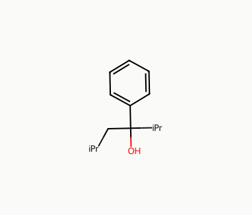 CC(C)CC(O)(c1ccccc1)C(C)C